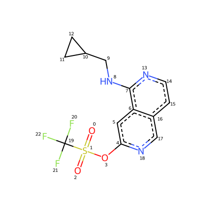 O=S(=O)(Oc1cc2c(NCC3CC3)nccc2cn1)C(F)(F)F